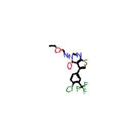 CCO/C=N/n1cnc2scc(-c3ccc(Cl)c(C(F)(F)F)c3)c2c1=O